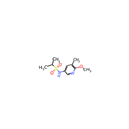 COc1ncc(NS(=O)(=O)C(C)C)cc1C